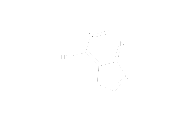 Sc1ncnc2ncsc12